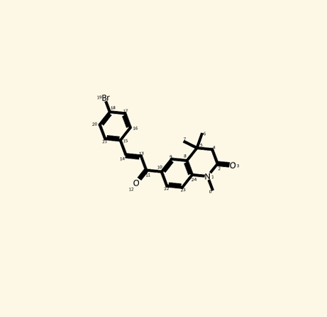 CN1C(=O)CC(C)(C)c2cc(C(=O)C=Cc3ccc(Br)cc3)ccc21